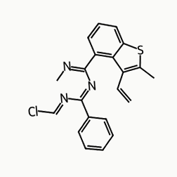 C=Cc1c(C)sc2cccc(C(/N=C(\N=C\Cl)c3ccccc3)=N/C)c12